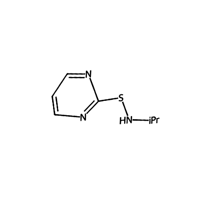 CC(C)NSc1ncccn1